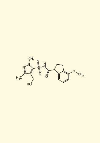 COc1cccc2c1CCC2C(=O)NS(=O)(=O)c1c(CO)c(C)nn1C